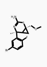 COC[C@]12CC1[C@@](C)(c1cc(Br)ccc1F)N=C(N)S2